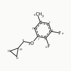 Cc1cc(F)c(F)c(OCC2CC2)c1